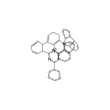 C1=CC(C2=CCCC3=C2Oc2ccccc2C32C3=C(C=CCC3)c3ccccc32)C(c2nc(-c3ccccc3)cc(-c3ccccn3)n2)C=C1